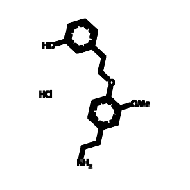 COc1cc(CCN)ccc1OCCc1cccc(O)c1.Cl